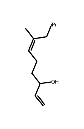 C=CC(O)CC/C=C(/C)CC(C)C